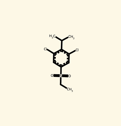 CCS(=O)(=O)c1cc(Cl)c(C(C)C)c(Cl)c1